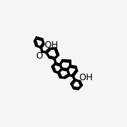 O=C(c1ccccc1)c1cc(-c2ccc3ccc4c(-c5ccccc5O)ccc5ccc2c3c54)ccc1O